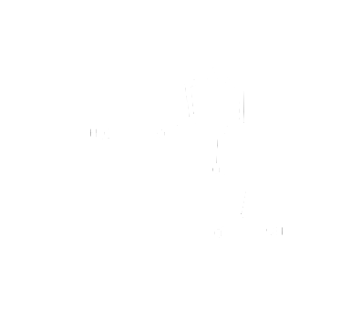 CCOc1c[c]ccc1OCC(=O)O